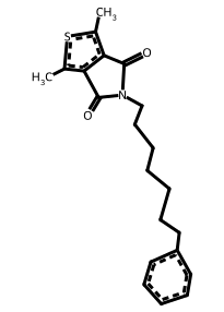 Cc1sc(C)c2c1C(=O)N(CCCCCCCc1ccccc1)C2=O